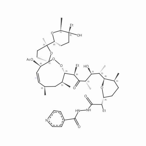 CCC(C(=O)NNC(=O)c1ccncc1)[C@H]1CC[C@H](C)[C@H]([C@@H](C)[C@H](O)[C@H](C)C(=O)[C@H](CC)[C@H]2OO[C@@]3(CC[C@@](C)([C@H]4CC[C@](O)(CC)[C@H](C)O4)O3)[C@H](OC(C)=O)/C=C\[C@H](C)C[C@@H]2C)O1